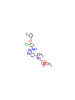 C/C(=N\OCCOS(C)(=O)=O)c1ccc2ncnc(Nc3ccc(OCc4cccc(F)c4)c(Cl)c3)c2c1